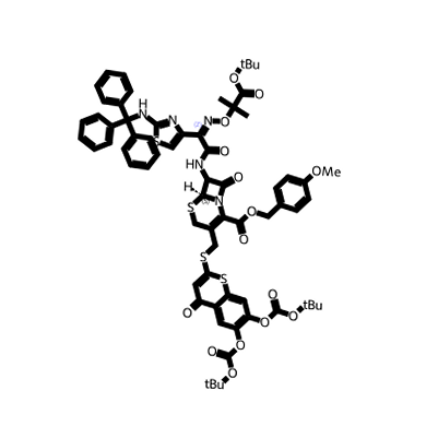 COc1ccc(COC(=O)C2=C(CSc3cc(=O)c4cc(OC(=O)OC(C)(C)C)c(OC(=O)OC(C)(C)C)cc4s3)CS[C@H]3C(NC(=O)/C(=N\OC(C)(C)C(=O)OC(C)(C)C)c4csc(NC(c5ccccc5)(c5ccccc5)c5ccccc5)n4)C(=O)N23)cc1